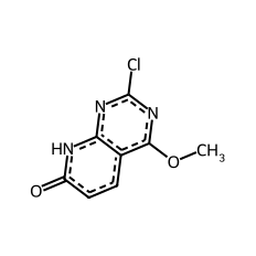 COc1nc(Cl)nc2[nH]c(=O)ccc12